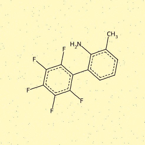 Cc1cccc(-c2c(F)c(F)c(F)c(F)c2F)c1N